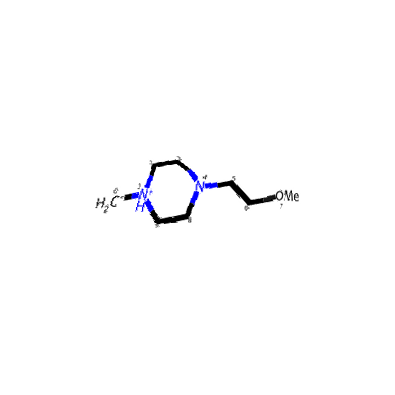 [CH2-][NH+]1CCN(CCOC)CC1